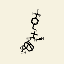 CC1C2CC3CC(CC1(C(=O)O)C3)C2NC(=NC#N)C(C)(C)OCc1ccc(C(F)(F)F)cc1